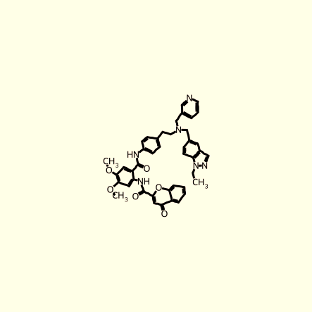 CCn1ncc2cc(CN(CCc3ccc(NC(=O)c4cc(OC)c(OC)cc4NC(=O)c4cc(=O)c5ccccc5o4)cc3)Cc3cccnc3)ccc21